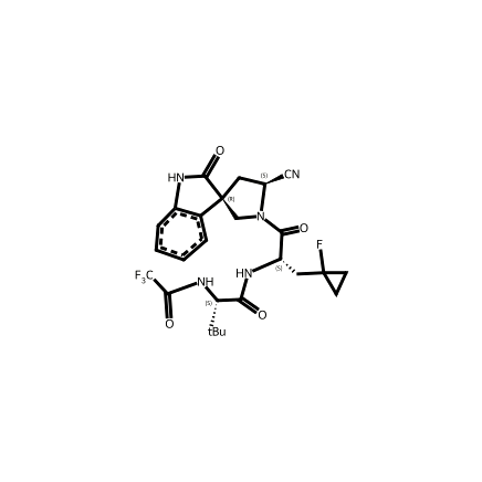 CC(C)(C)[C@H](NC(=O)C(F)(F)F)C(=O)N[C@@H](CC1(F)CC1)C(=O)N1C[C@]2(C[C@H]1C#N)C(=O)Nc1ccccc12